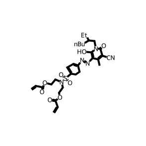 C=CC(=O)OCCN(CCOC(=O)C=C)S(=O)(=O)C1=CC=C(/N=N/c2c(C)c(C#N)c(=O)n(CC(CC)CCCC)c2O)CC1